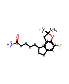 CC1(C)Cc2c(c(Br)cc3c2C(CCCCC(N)=O)CC3)O1